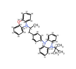 CC(Cc1ccc(N2c3ccccc3N(C(C)(C)C)c3ccccc32)cc1)N1c2ccccc2Oc2ccccc21